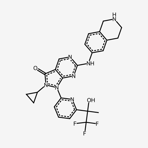 CC(O)(c1cccc(-n2c3nc(Nc4ccc5c(c4)CCNC5)ncc3c(=O)n2C2CC2)n1)C(F)(F)F